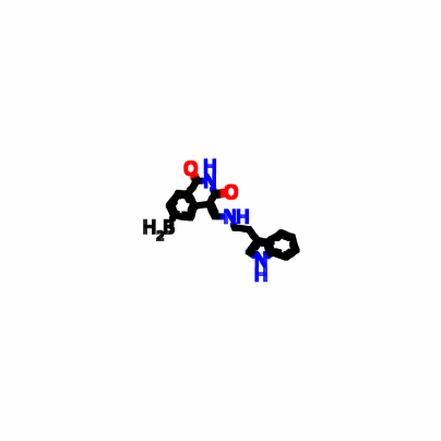 Bc1ccc2c(c1)/C(=C/NCCc1c[nH]c3ccccc13)C(=O)NC2=O